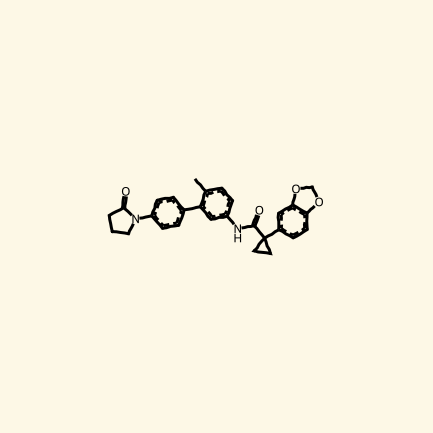 Cc1ccc(NC(=O)C2(c3ccc4c(c3)OCO4)CC2)cc1-c1ccc(N2CCCC2=O)cc1